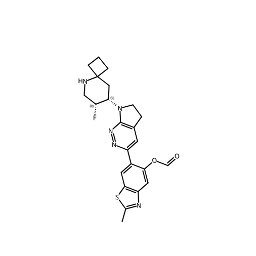 Cc1nc2cc(OC=O)c(-c3cc4c(nn3)N([C@H]3CC5(CCC5)NC[C@H]3F)CC4)cc2s1